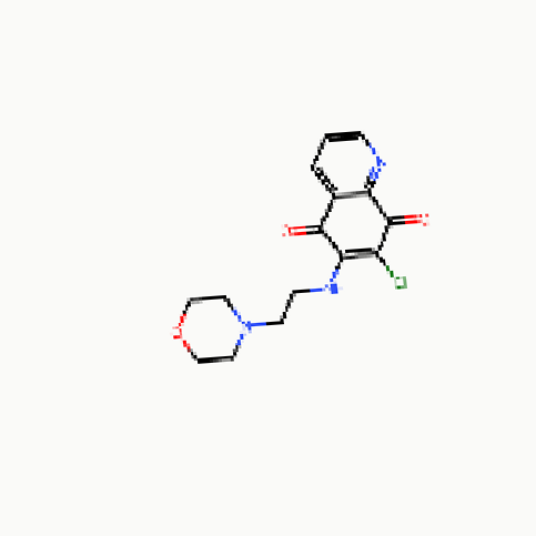 O=C1C(NCCN2CCOCC2)=C(Cl)C(=O)c2ncccc21